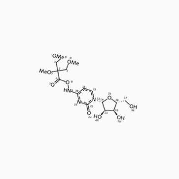 COCC(COC)(OC)C(=O)ONc1ccn([C@@H]2O[C@H](CO)[C@@H](O)[C@H]2O)c(=O)n1